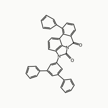 O=c1c2cccc(-c3ccccc3)c2c2cccc3c2n1c(=O)n3-c1cc(-c2ccccc2)cc(-c2ccccc2)c1